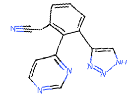 N#Cc1cccc(-c2c[nH]nn2)c1-c1ccncn1